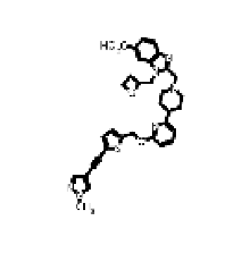 Cn1cc(C#Cc2ccc(COc3cccc(C4CCN(Cc5nc6ccc(C(=O)O)cc6n5C[C@@H]5CCO5)CC4)n3)s2)cn1